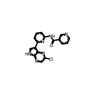 O=C(Nc1cccc(-c2c[nH]c3ncc(Cl)nc23)n1)c1cccnc1